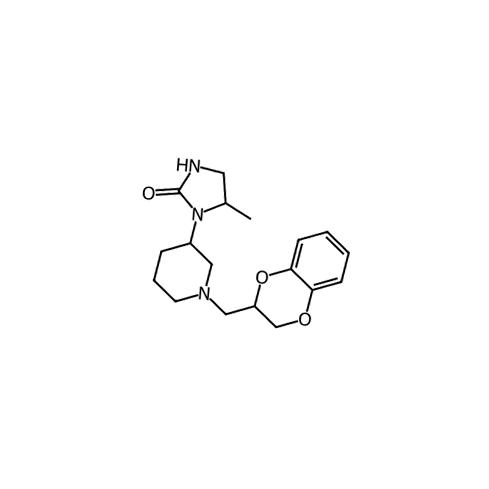 CC1CNC(=O)N1C1CCCN(CC2COc3ccccc3O2)C1